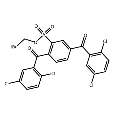 CC(C)(C)COS(=O)(=O)c1cc(C(=O)c2cc(Cl)ccc2Cl)ccc1C(=O)c1cc(Cl)ccc1Cl